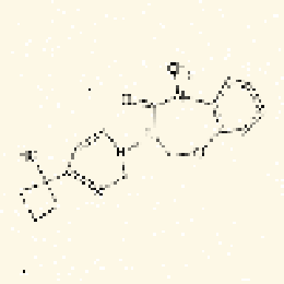 CN1C(=O)[C@@H](N2C=CC(C3(O)CCC3)=NC2)COc2ccccc21